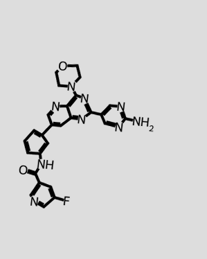 Nc1ncc(-c2nc(N3CCOCC3)c3ncc(-c4cccc(NC(=O)c5cncc(F)c5)c4)cc3n2)cn1